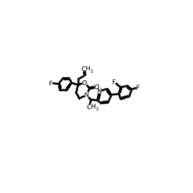 C=CCC1(c2ccc(F)cc2)CCN(C(C)c2ccc(-c3ccc(F)cc3F)cn2)C(=O)O1